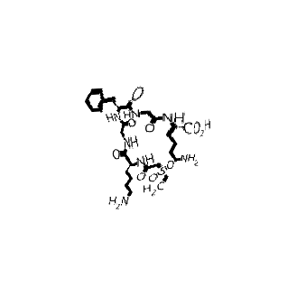 C=CS(=O)(=O)CC(=O)N[C@@H](CCCCN)C(=O)NCC(=O)N[C@@H](Cc1ccccc1)C(=O)NCC(=O)N[C@@H](CCCCN)C(=O)O